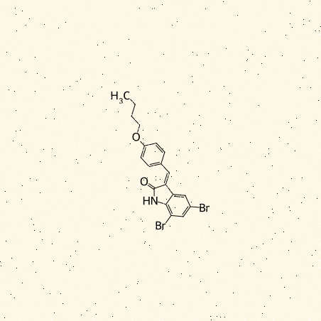 CCCCOc1ccc(C=C2C(=O)Nc3c(Br)cc(Br)cc32)cc1